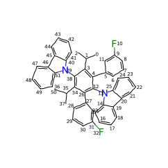 CC(C)c1c(-c2cccc(F)c2)c(-n2c3ccccc3c3ccccc32)c(-c2cccc(F)c2)c(C(C)C)c1-n1c2ccccc2c2ccccc21